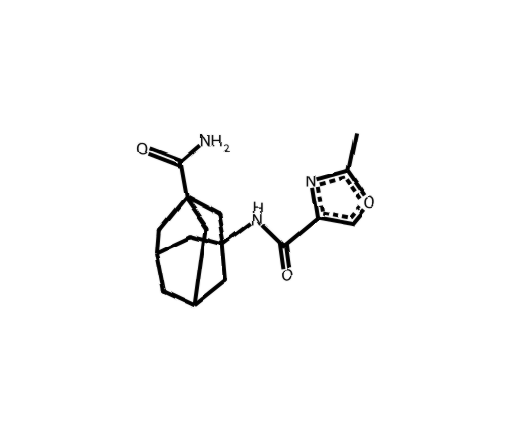 Cc1nc(C(=O)NC23CC4CC(C2)CC(C(N)=O)(C4)C3)co1